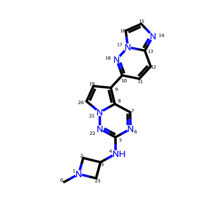 CN1CC(Nc2ncc3c(-c4ccc5nccn5n4)ccn3n2)C1